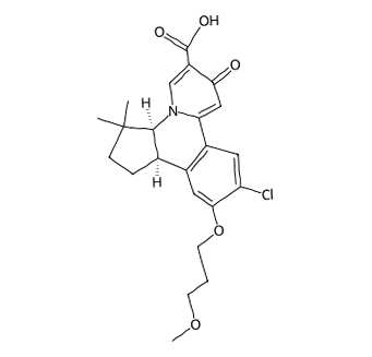 COCCCOc1cc2c(cc1Cl)-c1cc(=O)c(C(=O)O)cn1[C@H]1[C@@H]2CCC1(C)C